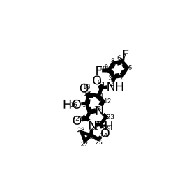 O=C(Nc1ccc(F)cc1F)c1cn2c(c(O)c1=O)C(=O)N1[C@@H](C2)OCC12CC2